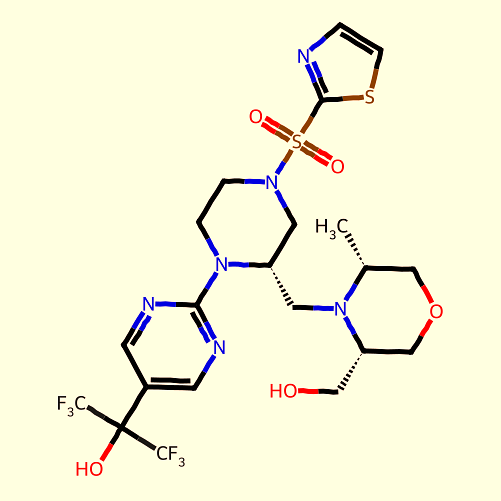 C[C@@H]1COC[C@H](CO)N1C[C@H]1CN(S(=O)(=O)c2nccs2)CCN1c1ncc(C(O)(C(F)(F)F)C(F)(F)F)cn1